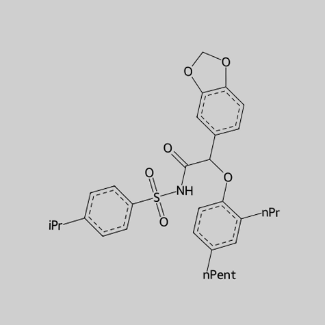 CCCCCc1ccc(OC(C(=O)NS(=O)(=O)c2ccc(C(C)C)cc2)c2ccc3c(c2)OCO3)c(CCC)c1